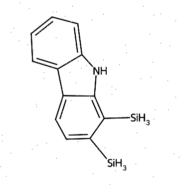 [SiH3]c1ccc2c([nH]c3ccccc32)c1[SiH3]